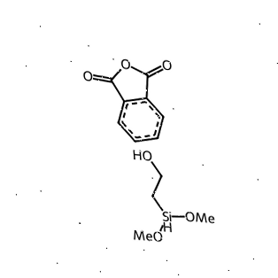 CO[SiH](CCO)OC.O=C1OC(=O)c2ccccc21